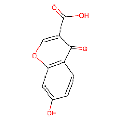 O=C(O)c1coc2cc(O)ccc2c1=O